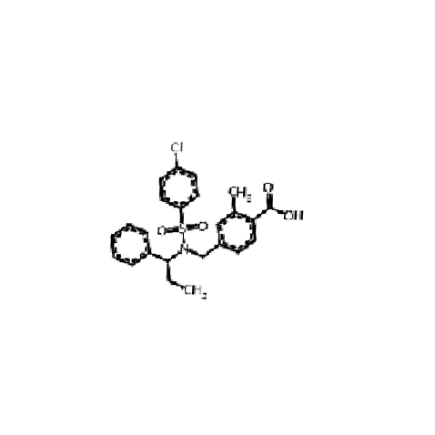 CC[C@@H](c1ccccc1)N(Cc1ccc(C(=O)O)c(C)c1)S(=O)(=O)c1ccc(Cl)cc1